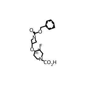 O=C(O)N1CC[C@@H](OC2CN(C(=O)OCc3ccccc3)C2)[C@H](F)C1